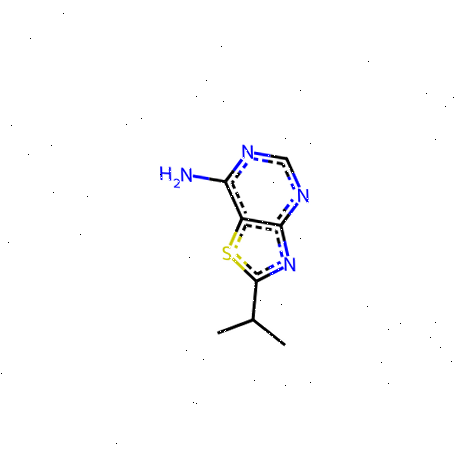 CC(C)c1nc2ncnc(N)c2s1